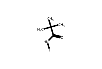 CC(C)(C)C(=O)NI